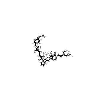 CCN(CC)CCNC(=O)c1c(C)[nH]c(/C=C2\C(=O)N(C(=O)C(N)CCC(=O)NCc3ccc(OC)cc3)c3ccc(F)cc32)c1C